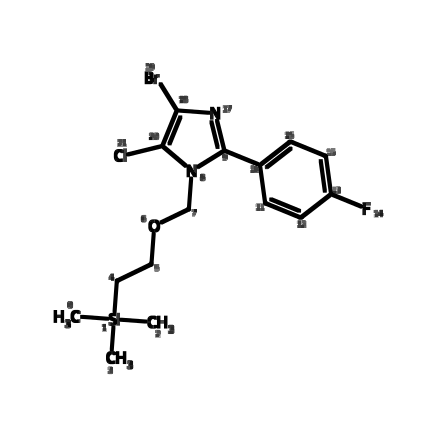 C[Si](C)(C)CCOCn1c(-c2ccc(F)cc2)nc(Br)c1Cl